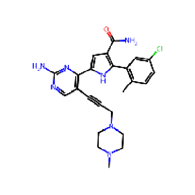 Cc1ccc(Cl)cc1-c1[nH]c(-c2nc(N)ncc2C#CCN2CCN(C)CC2)cc1C(N)=O